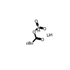 CCCCC(=O)O[SH](=O)=O.[LiH]